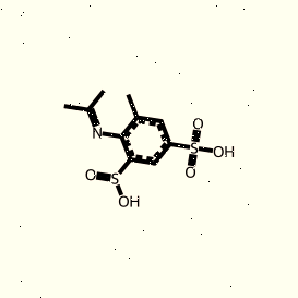 CC(C)=Nc1c(C)cc(S(=O)(=O)O)cc1S(=O)O